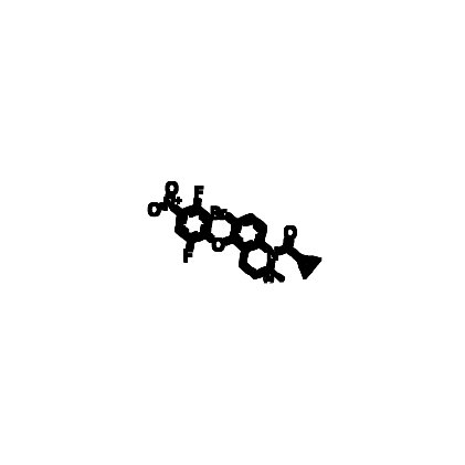 C[C@H]1CCc2c(ccc(Br)c2Oc2cc(F)c([N+](=O)[O-])cc2F)N1C(=O)C1CC1